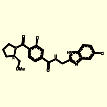 COC[C@H]1CCCN1C(=O)c1ccc(C(=O)NCc2nc3cc(Cl)ccc3[nH]2)cc1Cl